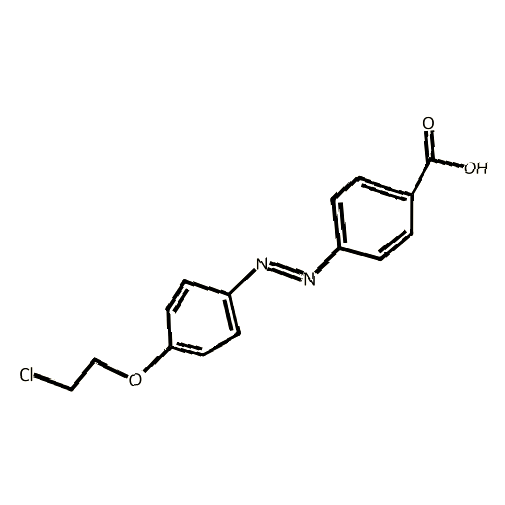 O=C(O)c1ccc(N=Nc2ccc(OCCCl)cc2)cc1